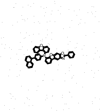 c1ccc(-c2nc3cc4c(cc3o2)oc2c(N(c3ccc(-c5cccc6ccccc56)cc3)c3cccc5oc6ccccc6c35)cccc24)cc1